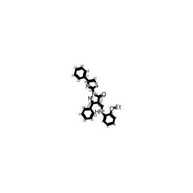 CCOc1ccccc1N/C=C1/C(=O)N(c2nc(-c3ccccc3)cs2)N=C1c1ccccc1